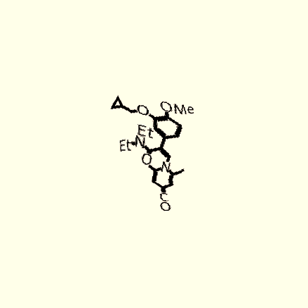 CCN(CC)C(=O)C(=CN1C(C)=CC(=C=O)C=C1C)c1ccc(OC)c(OCC2CC2)c1